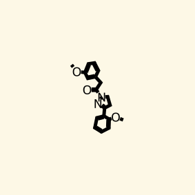 COc1cccc(CC(=O)N2CCC(c3ccccc3OC)=N2)c1